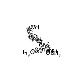 CCOCCOc1cc2c(ccn2C(=O)NC)cc1Oc1ccnc(NC(=O)c2ccc(CN3CC[C@H](O)C3)s2)c1